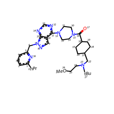 CCCc1cccc(Cn2ncc3c(N4CCN(C(=O)C5CCC(CN(CCOC)C(C)(C)C)CC5)CC4)ncnc32)n1